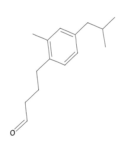 Cc1cc(CC(C)C)ccc1CCCC=O